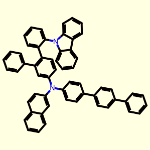 c1ccc(-c2ccc(-c3ccc(N(c4ccc(-c5ccccc5-n5c6ccccc6c6ccccc65)c(-c5ccccc5)c4)c4ccc5ccccc5c4)cc3)cc2)cc1